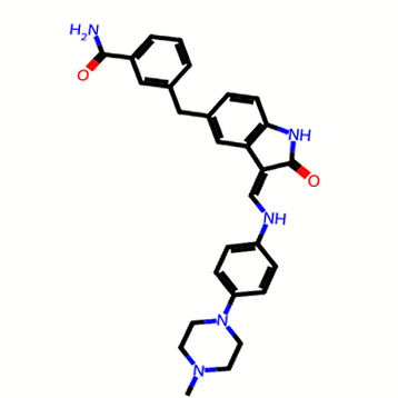 CN1CCN(c2ccc(NC=C3C(=O)Nc4ccc(Cc5cccc(C(N)=O)c5)cc43)cc2)CC1